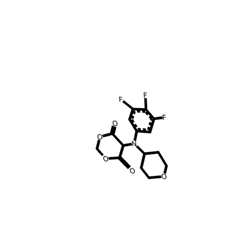 O=C1OCOC(=O)C1N(c1cc(F)c(F)c(F)c1)C1CCOCC1